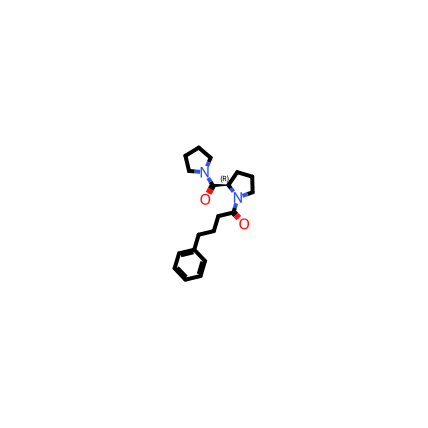 O=C([C@H]1CCCN1C(=O)CCCc1ccccc1)N1CCCC1